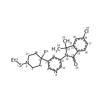 CCSN1CCC(F)(c2cncc(N3C(=O)c4ccc(Cl)cc4C3(C)C)c2)CC1